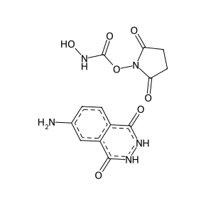 Nc1ccc2c(=O)[nH][nH]c(=O)c2c1.O=C(NO)ON1C(=O)CCC1=O